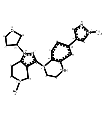 CC(=O)N1CCc2c(c(N3CCNc4cc(-c5cnn(C)c5)ccc43)nn2[C@H]2CCOC2)C1